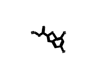 CC(C)(C)OC(=O)c1cc2cc(Br)cc(Cl)c2s1